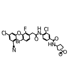 N#Cc1cc(Cl)cc(Oc2c(Br)ccc(CC(=O)Nc3ccc(C(=O)NC4CCS(=O)(=O)C4)cc3Cl)c2F)c1